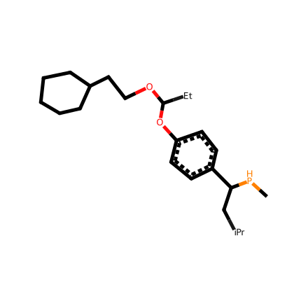 CCC(OCCC1CCCCC1)Oc1ccc(C(CC(C)C)PC)cc1